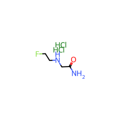 Cl.Cl.NC(=O)CNCCF